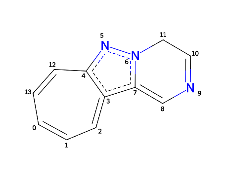 C1=CC=c2c(nn3c2=CN=CC3)C=C1